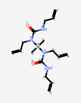 C=CCNC(=O)N(CC=C)[Si](C)(C)N(CC=C)C(=O)NCC=C